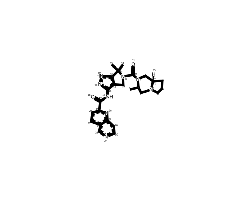 CC1CN2CCC[C@H]2CN1C(=O)N1Cc2c(NC(=O)c3ccc4cnccc4n3)n[nH]c2C1(C)C